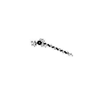 COCCOCCOCCOCCOCCOCCOc1c(C)cc(N(C)C)cc1C